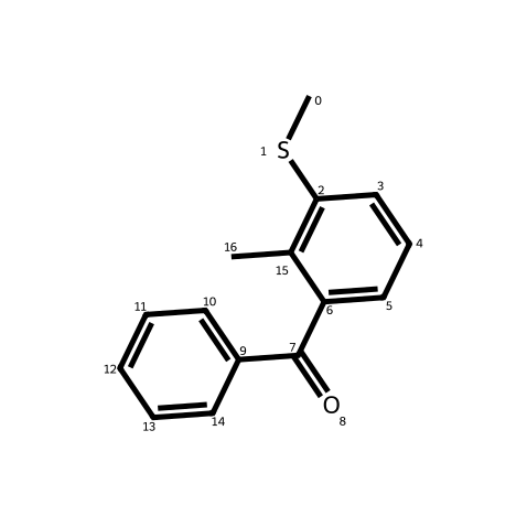 CSc1cccc(C(=O)c2ccccc2)c1C